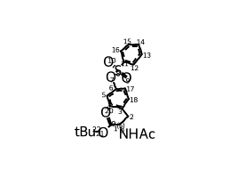 CC(=O)N[C@@H](Cc1ccc(OS(=O)(=O)c2ccccc2)cc1)C(=O)OC(C)(C)C